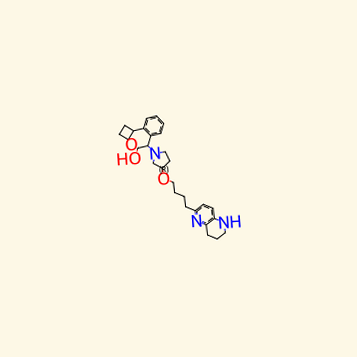 O=C(O)C(c1ccccc1C1CCC1)N1CC[C@@H](OCCCCc2ccc3c(n2)CCCN3)C1